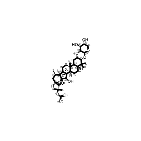 CCC(=O)OC(C)(C)[C@H]1OC23O[C@@H]1C[C@@H](C)[C@@H]2[C@@]1(C)CC[C@@]24C[C@@]25CC[C@H](O[C@@H]2OC[C@@H](O)[C@H](O)[C@H]2O)C(C)(C)[C@@H]5CC[C@H]4[C@]1(C)[C@H]3O